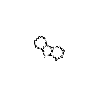 c1ccc2c(c1)sc1nccc[n+]12